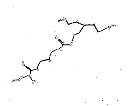 CCCCCCCCCCCCC(CCCCCCCCCCCC)CCOC(=O)CCCCCC(=O)N(C)OC